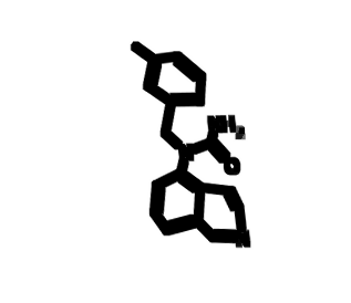 Cc1cccc(CN(C(N)=O)c2cccc3cnccc23)c1